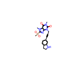 Cn1c(=O)c2c(nc(S(C)(=O)=O)n2C)n(CC#Cc2ccc3c(c2)NCC3)c1=O